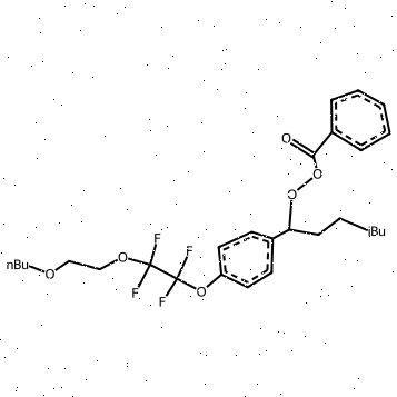 CCCCOCCOC(F)(F)C(F)(F)Oc1ccc(C(CCC(C)CC)OOC(=O)c2ccccc2)cc1